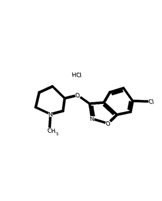 CN1CCCC(Oc2noc3cc(Cl)ccc23)C1.Cl